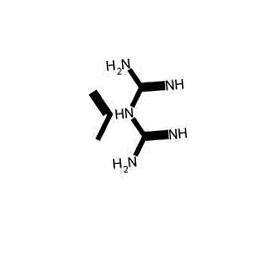 C=CC.N=C(N)NC(=N)N